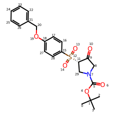 CC(C)(C)OC(=O)N1CC(=O)[C@@H](S(=O)(=O)c2ccc(OCc3ccccc3)cc2)C1